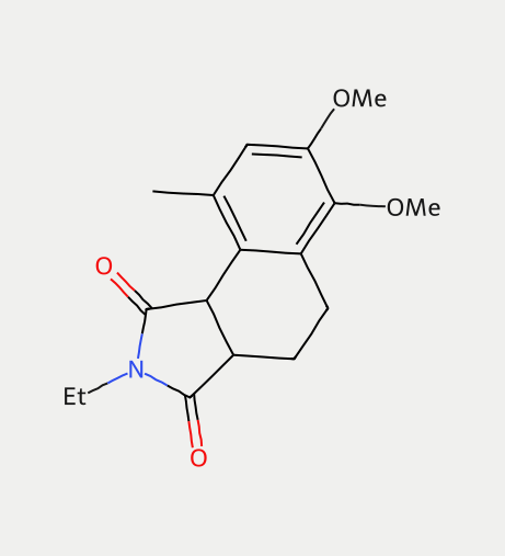 CCN1C(=O)C2CCc3c(OC)c(OC)cc(C)c3C2C1=O